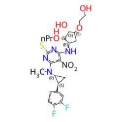 CCCSc1nc(N[C@@H]2C[C@H](OCCO)[C@@H](O)[C@H]2O)c([N+](=O)[O-])c(N(C)[C@@H]2C[C@H]2c2ccc(F)c(F)c2)n1